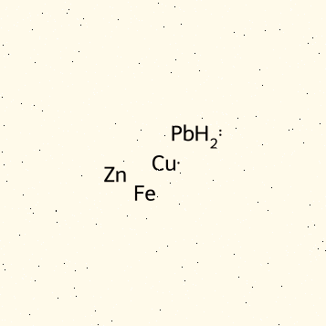 [Cu].[Fe].[PbH2].[Zn]